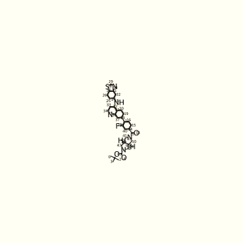 CC(C)(C)OC(=O)N1C[C@@H]2CN(C(=O)c3ccc(-c4ccc5c(Nc6ccc7scnc7c6)ccnc5c4)c(F)c3)C[C@@H]2C1